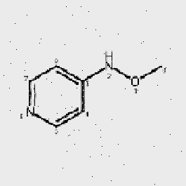 CONc1ccncc1